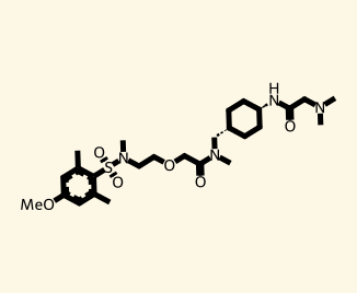 COc1cc(C)c(S(=O)(=O)N(C)CCOCC(=O)N(C)C[C@H]2CC[C@@H](NC(=O)CN(C)C)CC2)c(C)c1